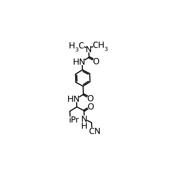 CC(C)CC(NC(=O)c1ccc(NC(=O)N(C)C)cc1)C(=O)NCC#N